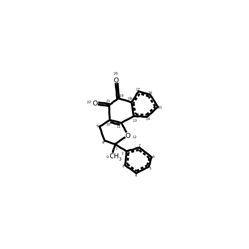 CC1(c2ccccc2)CCC2=C(O1)c1ccccc1C(=O)C2=O